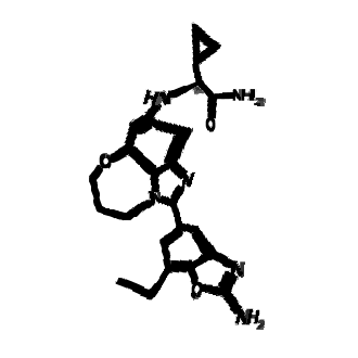 CCc1cc(-c2nc3cc(N[C@H](C(N)=O)C4CC4)cc4c3n2CCCO4)cc2nc(N)oc12